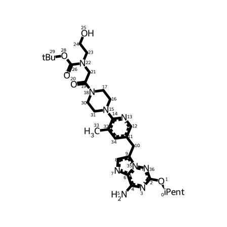 CCC[C@H](C)Oc1nc(N)c2ncc(Cc3cnc(N4CCN(C(=O)CN(CCO)C(=O)OC(C)(C)C)CC4)c(C)c3)n2n1